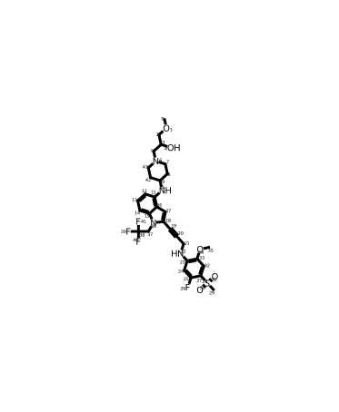 COCC(O)CN1CCC(Nc2cccc3c2cc(C#CCNc2cc(F)c(S(C)(=O)=O)cc2OC)n3CC(F)(F)F)CC1